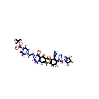 CC(C)(C)OC(=O)N1CCN(CCn2cnc3ccc(Oc4c(F)ccc(NSN5CCCC5)c4C#N)cc3c2=O)CC1